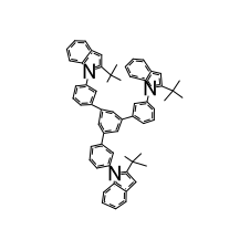 CC(C)(C)c1cc2ccccc2n1-c1cccc(-c2cc(-c3cccc(-n4c(C(C)(C)C)cc5ccccc54)c3)cc(-c3cccc(-n4c(C(C)(C)C)cc5ccccc54)c3)c2)c1